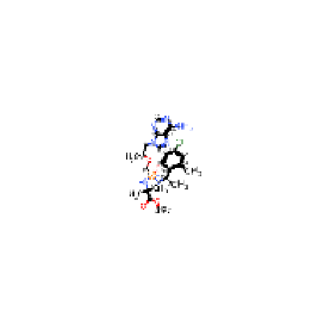 CCCOC(=O)C(C)(C)N[P@@](=O)(CO[C@H](C)Cn1cnc2c(N)ncnc21)N[C@@H](C)c1ccc(Cl)cc1C